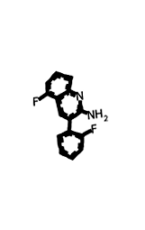 Nc1nc2cccc(F)c2cc1-c1ccccc1F